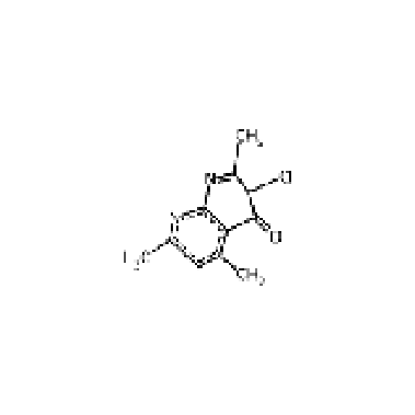 CC1=Nc2nc(C)cc(C)c2C(=O)C1Cl